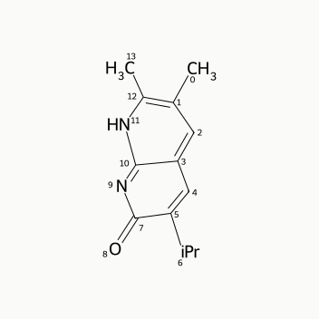 Cc1cc2cc(C(C)C)c(=O)nc-2[nH]c1C